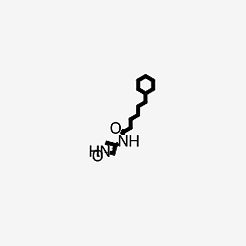 O=C(CCCCCC1CCCCC1)NC1C[NH+]([O-])C1